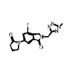 Cn1nnc(CN2Cc3c(F)cc(N4CCCC4=O)cc3C2=O)n1